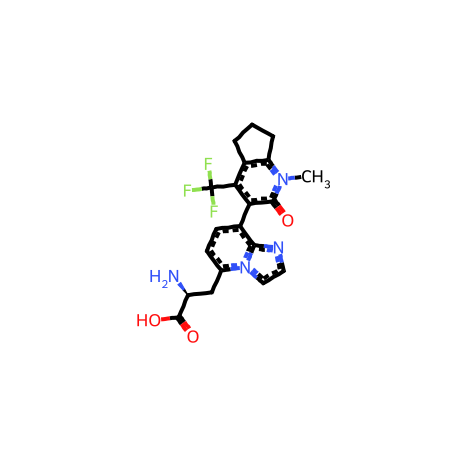 Cn1c2c(c(C(F)(F)F)c(-c3ccc(C[C@H](N)C(=O)O)n4ccnc34)c1=O)CCC2